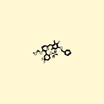 COCOc1ccc(Cc2c(C)cc(OCc3ccccc3)c(F)c2C)nc1C1CC(F)(F)CCC1OS(C)(=O)=O